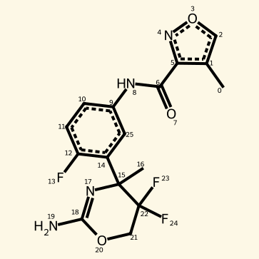 Cc1conc1C(=O)Nc1ccc(F)c(C2(C)N=C(N)OCC2(F)F)c1